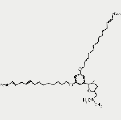 CCCCCC=CCC=CCCCCCCCCOc1cc(OCCCCCCCCC=CCC=CCCCCC)cc(C2OCC(CN(C)C)O2)c1